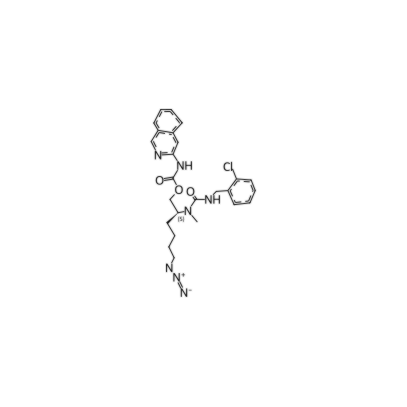 CN(C(=O)NCc1ccccc1Cl)[C@@H](CCCCN=[N+]=[N-])COC(=O)Nc1cc2ccccc2cn1